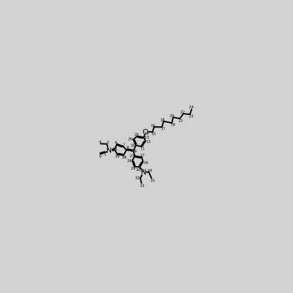 C=C[N+](CC)=C1C=CC(=C(c2ccc(OCCCCCCCCCC)cc2)c2ccc(N(CC)CC)cc2)C=C1